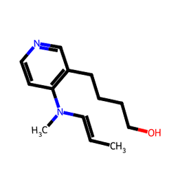 CC=CN(C)c1ccncc1CCCCO